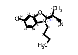 CCCCN1/C(=C(/C)C#N)Oc2cc(Cl)ccc21